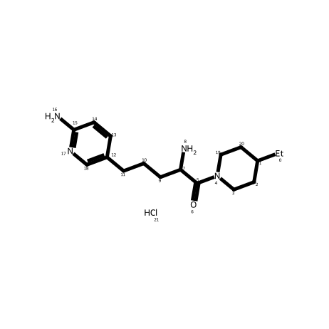 CCC1CCN(C(=O)C(N)CCCc2ccc(N)nc2)CC1.Cl